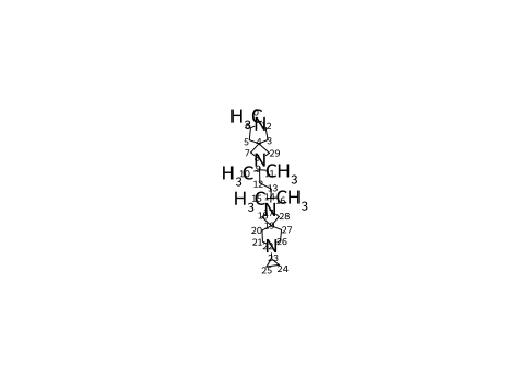 CN1CCC2(CC1)CN(C(C)(C)CCC(C)(C)N1CC3(CCN(C4CC4)CC3)C1)C2